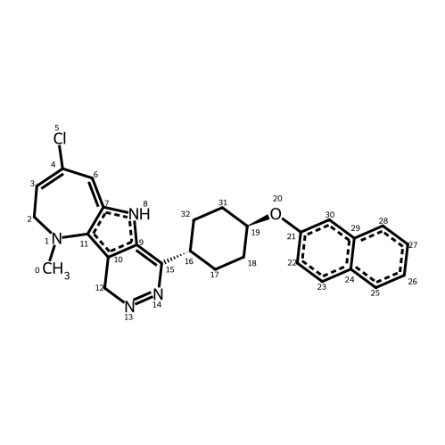 CN1CC=C(Cl)C=c2[nH]c3c(c21)CN=NC=3[C@H]1CC[C@H](Oc2ccc3ccccc3c2)CC1